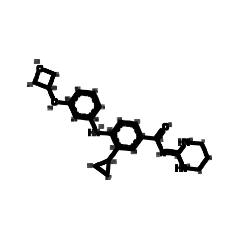 O=C(N=C1NCCCN1)c1ccc(Nc2cccc(OC3COC3)c2)c(C2CC2)c1